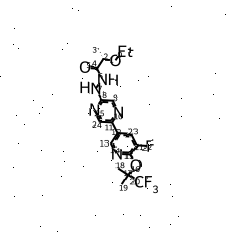 CCO[C@@H](C)C(=O)NNc1cnc(-c2cnc(OC(C)(C)C(F)(F)F)c(F)c2)cn1